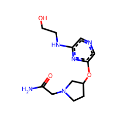 NC(=O)CN1CCC(Oc2cncc(NCCO)n2)C1